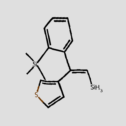 C[Si](C)(C)c1ccccc1C(=C[SiH3])c1ccsc1